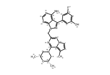 Cc1ccn2nc(Cn3nc(-c4cc(O)cc(F)c4)c4c(N)ncnc43)nc(N3C[C@@H](C)O[C@@H](C)C3)c12